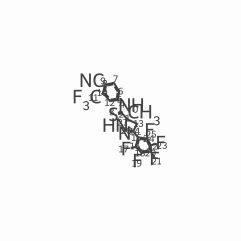 CC1(C(=S)Nc2ccc(C#N)c(C(F)(F)F)c2)CC(c2c(F)c(F)c(F)c(F)c2F)=NN1